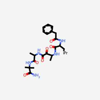 CC(C)CC(NC(=O)Cc1ccccc1)C(=O)NC(C)C(=O)C(=O)NC(C)C(=O)NC(C)(C)C(N)=O